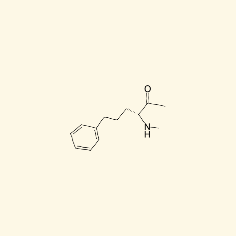 CN[C@H](CCCc1ccccc1)C(C)=O